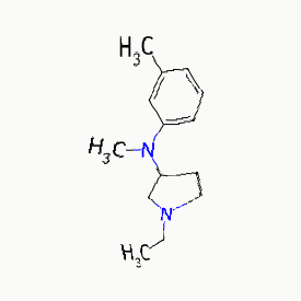 CCN1CCC(N(C)c2cccc(C)c2)C1